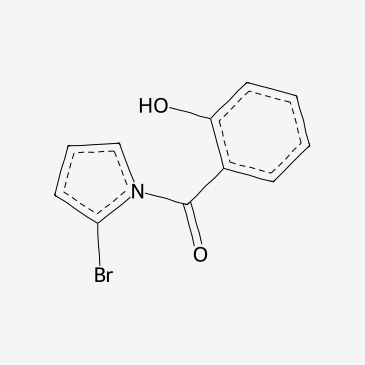 O=C(c1ccccc1O)n1cccc1Br